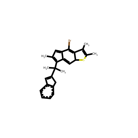 CC1=C(C(C)(C)C2=Cc3ccccc3C2)C2=CC3SC(C)=C(C)C3=C(Br)C2=C1